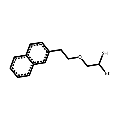 CCC(S)COCCc1ccc2ccccc2c1